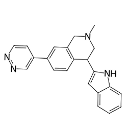 CN1Cc2cc(-c3ccnnc3)ccc2C(c2cc3ccccc3[nH]2)C1